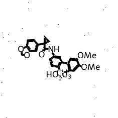 COc1cc(C(=O)O)c(-c2cc(NC(=O)C3(c4ccc5c(c4)OCO5)CC3)ccc2C)cc1OC